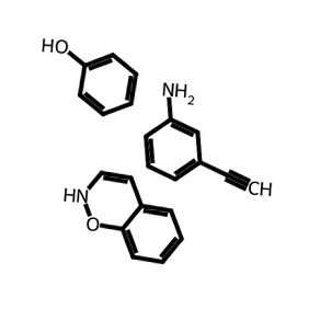 C#Cc1cccc(N)c1.C1=Cc2ccccc2ON1.Oc1ccccc1